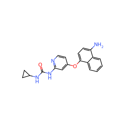 Nc1ccc(Oc2ccnc(NC(=O)NC3CC3)c2)c2ccccc12